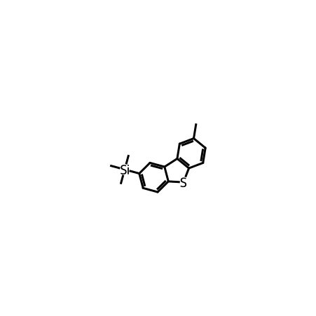 Cc1ccc2sc3ccc([Si](C)(C)C)cc3c2c1